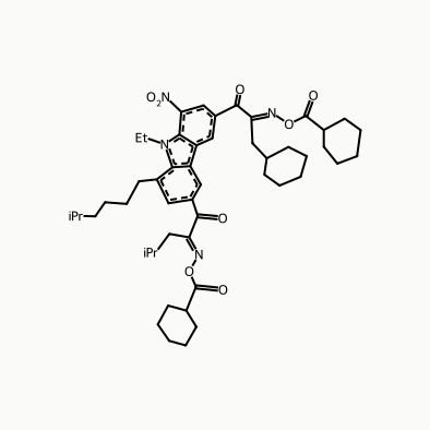 CCn1c2c(CCCCC(C)C)cc(C(=O)/C(CC(C)C)=N/OC(=O)C3CCCCC3)cc2c2cc(C(=O)/C(CC3CCCCC3)=N/OC(=O)C3CCCCC3)cc([N+](=O)[O-])c21